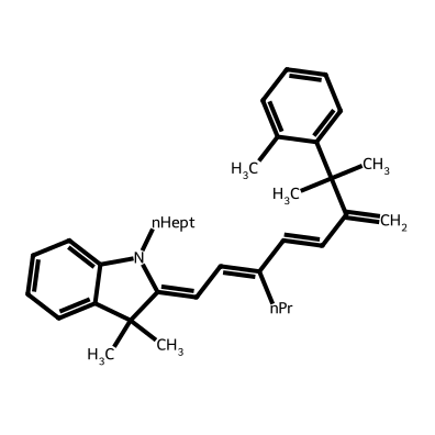 C=C(/C=C/C(=C/C=C1\N(CCCCCCC)c2ccccc2C1(C)C)CCC)C(C)(C)c1ccccc1C